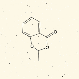 CC1OC(=O)c2ccccc2O1